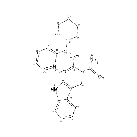 NC(=O)[C](Cc1c[nH]c2ccccc12)C(=O)N[C@H](c1ccccn1)C1CCCCC1